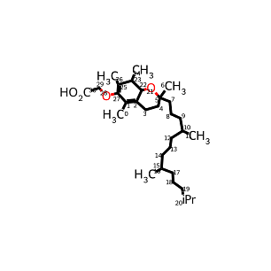 CC1=C2CCC(C)(CCCC(C)CCCC(C)CCCC(C)C)OC2C(C)C(C)=C1OCC(=O)O